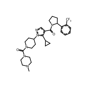 CN1CCN(C(=O)N2CCC(n3ncc(C(=O)N4CCCC4c4ccccc4C(F)(F)F)c3C3CC3)CC2)CC1